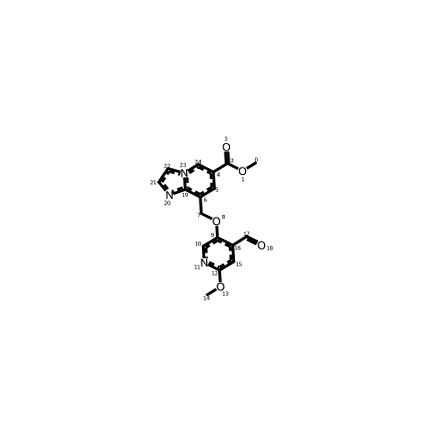 COC(=O)c1cc(COc2cnc(OC)cc2C=O)c2nccn2c1